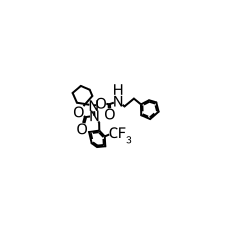 O=C(NCCc1ccccc1)ON1N(Cc2ccccc2C(F)(F)F)C(=O)OC12CCCCC2